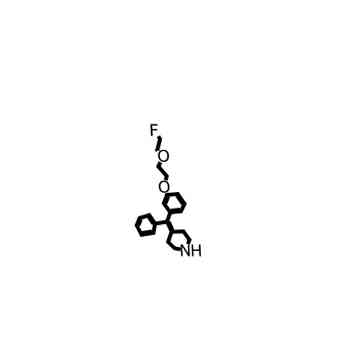 FCCOCCOc1cccc(C(=C2CCNCC2)c2ccccc2)c1